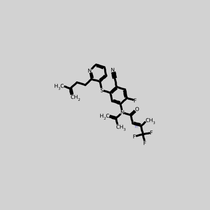 C=C(C)CCc1ncccc1Sc1cc(N(C(=C)C)C(=O)/C=C(\C)C(F)(F)F)c(F)cc1C#N